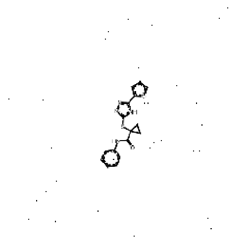 O=C(Nc1ccccc1)C1(Sc2nnc(-c3ccco3)[nH]2)CC1